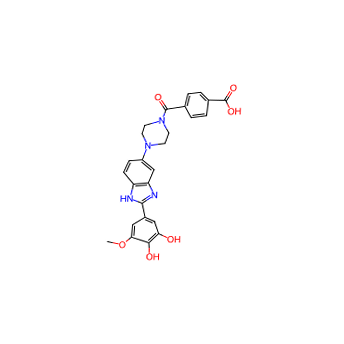 COc1cc(-c2nc3cc(N4CCN(C(=O)c5ccc(C(=O)O)cc5)CC4)ccc3[nH]2)cc(O)c1O